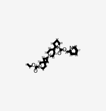 CCOC(=O)N1CCC2(CC(N3CCC(C4CCCN4C(=O)OCc4ccccn4)CC3)C2)C1